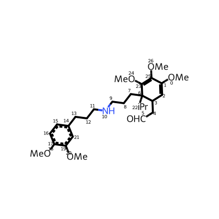 COC1=CC(CC=O)C(CCCNCCCc2ccc(OC)c(OC)c2)(C(C)C)C(OC)=C1OC